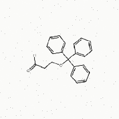 O=C(Cl)CCOC(c1ccccc1)(c1ccccc1)c1ccccc1